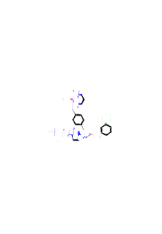 NC1=N[N+](CCOc2cccc(Cl)c2)(Cc2ccc(Cn3cccnc3=O)cc2)C=C1